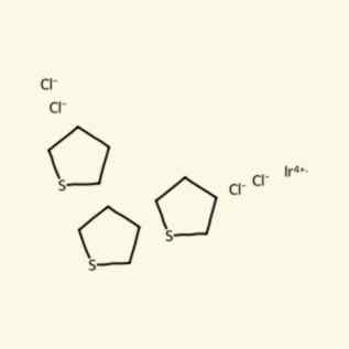 C1CCSC1.C1CCSC1.C1CCSC1.[Cl-].[Cl-].[Cl-].[Cl-].[Ir+4]